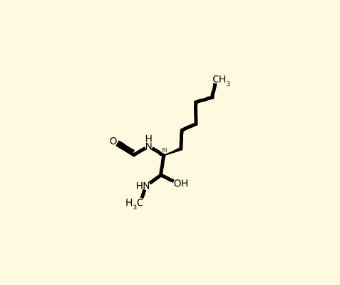 CCCCCC[C@H](NC=O)C(O)NC